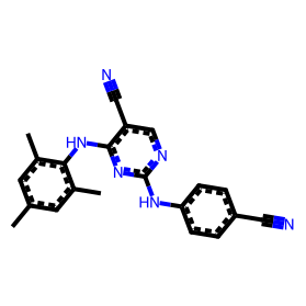 Cc1cc(C)c(Nc2nc(Nc3ccc(C#N)cc3)ncc2C#N)c(C)c1